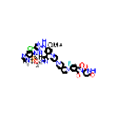 COc1cc(N2CCC(N3CCC4(CCCN(c5cc6c(cc5F)C(=O)N(C5CCC(=O)NC5=O)C6=O)C4)CC3)CC2)c(-c2cnn(C)c2)cc1Nc1ncc(Cl)c(Nc2ccc3nccnc3c2P(C)(C)=O)n1